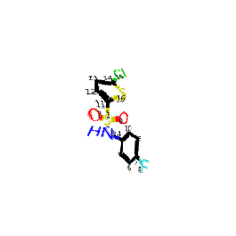 O=S(=O)(Nc1ccc(F)cc1)c1ccc(Cl)s1